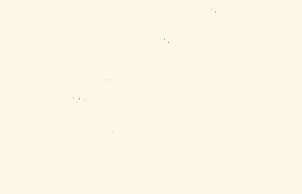 C=C(C)O[C@H](C(=O)OC)c1c(C)nc(CN)c(C)c1-c1ccc(Cl)cc1